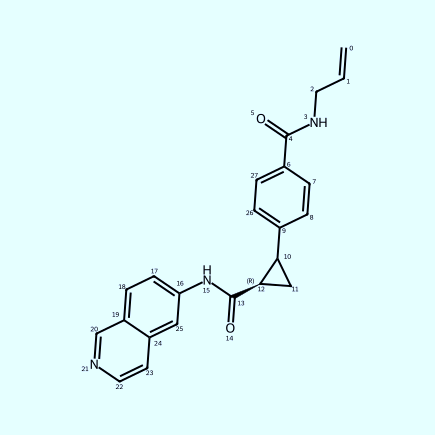 C=CCNC(=O)c1ccc(C2C[C@H]2C(=O)Nc2ccc3cnccc3c2)cc1